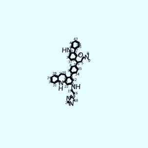 CN(C)C(=O)CC(c1ccc(-c2cc(NCCn3cncn3)cc3c2CCc2ccccc2N3)cc1)c1ccc2[nH]c3ccccc3c2c1